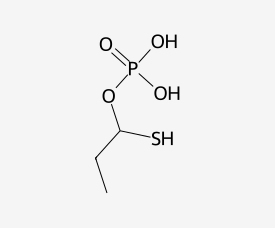 CCC(S)OP(=O)(O)O